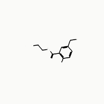 CC(C)Cc1ccc(F)c(C(=O)NCCS(=O)(=O)O)c1